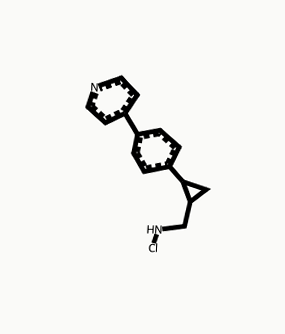 ClNCC1CC1c1ccc(-c2ccncc2)cc1